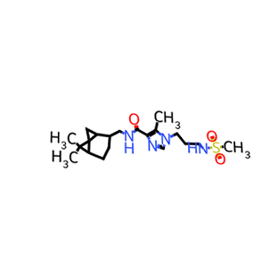 Cc1c(C(=O)NCC2CCC3C(C)(C)C34CC24)ncn1CCCNS(C)(=O)=O